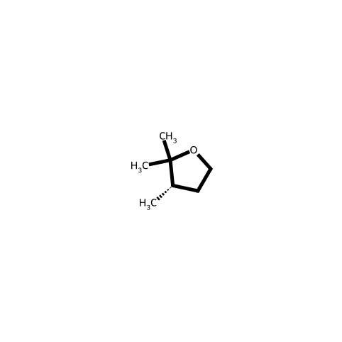 C[C@H]1CCOC1(C)C